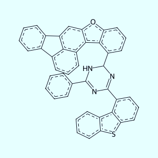 c1ccc(C2=NC(c3cccc4sc5ccccc5c34)=NC(c3cccc4oc5cc6c7c(cccc7c5c34)-c3ccccc3-6)N2)cc1